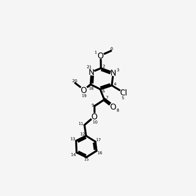 COc1nc(Cl)c(C(=O)COCc2ccccc2)c(OC)n1